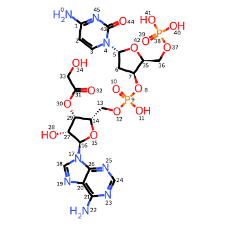 Nc1ccn([C@H]2C[C@H](OP(=O)(O)OC[C@@H]3O[C@@H](n4cnc5c(N)ncnc54)[C@H](O)[C@@H]3OC(=O)CO)[C@H](COP(=O)(O)O)O2)c(=O)n1